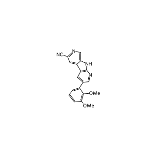 COc1cccc(-c2cnc3[nH]c4cnc(C#N)cc4c3c2)c1OC